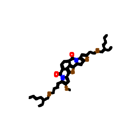 CCCCC(CC)CSCC/C=C/c1c(SC)cc2c3sc4c5c(ccc(c(=O)n12)c35)c(=O)n1c2cc(CCSCC(CC)CCCC)sc2cc41